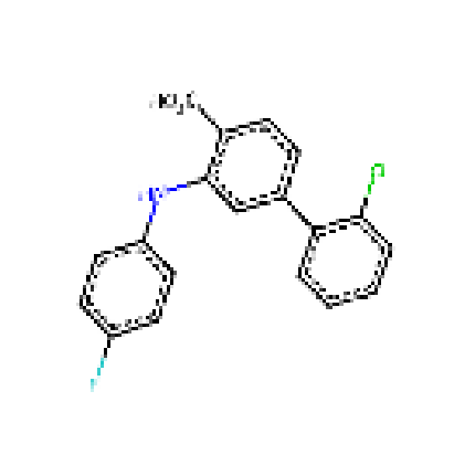 O=C(O)c1ccc(-c2ccccc2Cl)cc1Nc1ccc(F)cc1